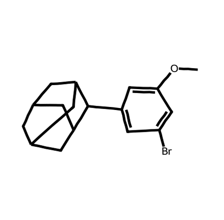 COc1cc(Br)cc(C2C3CC4CC(C3)CC2C4)c1